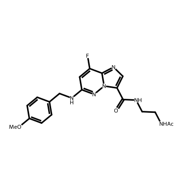 COc1ccc(CNc2cc(F)c3ncc(C(=O)NCCNC(C)=O)n3n2)cc1